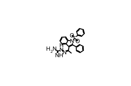 C/C(=N/NC(=N)N)c1c(-c2ccccc2)n(S(=O)(=O)c2ccccc2)c2ccccc12